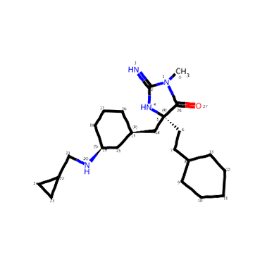 CN1C(=N)N[C@](CCC2CCCCC2)(C[C@@H]2CCC[C@H](NCC3CC3)C2)C1=O